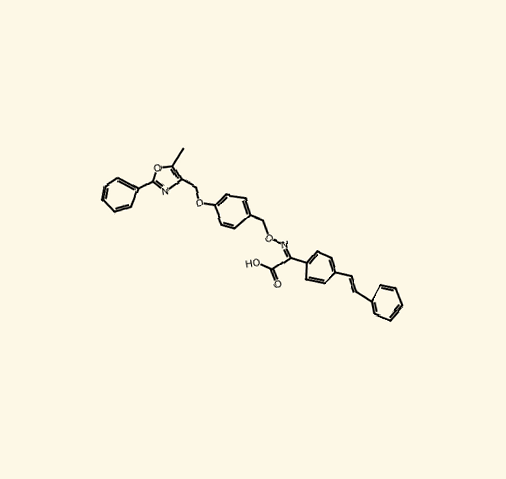 Cc1oc(-c2ccccc2)nc1COc1ccc(CO/N=C(\C(=O)O)c2ccc(/C=C/c3ccccc3)cc2)cc1